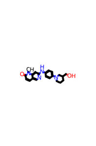 Cn1c(=O)ccc2cnc(Nc3ccc(N4CCCC(CO)C4)cc3)cc21